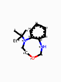 CCC(C)(C)N1CCOCNc2ccccc21